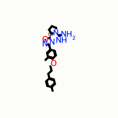 Cc1ccc(CCCOc2ccc(-c3noc([C@@H]4CCCN4C(=N)N)n3)cc2C)cc1